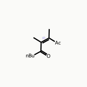 CCCCC(=O)/C(C)=C(/C)C(C)=O